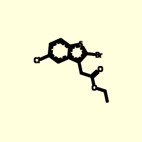 CCOC(=O)Cc1c(Br)sc2ccc(Cl)cc12